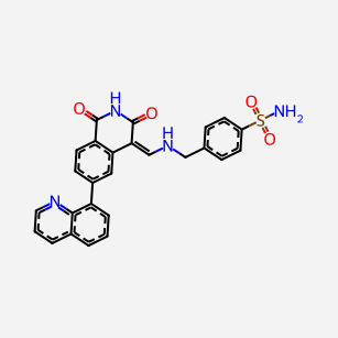 NS(=O)(=O)c1ccc(CNC=C2C(=O)NC(=O)c3ccc(-c4cccc5cccnc45)cc32)cc1